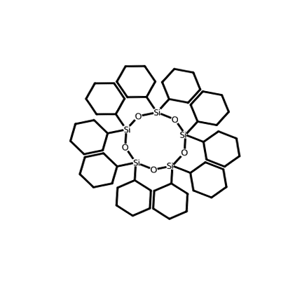 C1CCC([Si]2(C3CCCCC3)O[Si](C3CCCCC3)(C3CCCCC3)O[Si](C3CCCCC3)(C3CCCCC3)O[Si](C3CCCCC3)(C3CCCCC3)O[Si](C3CCCCC3)(C3CCCCC3)O2)CC1